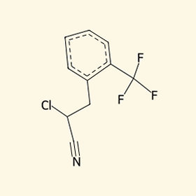 N#CC(Cl)Cc1ccccc1C(F)(F)F